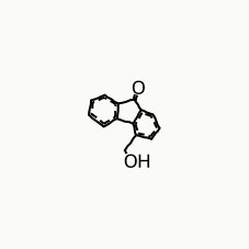 O=C1c2ccccc2-c2c(CO)cccc21